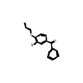 CCCOc1ccc(C(=O)c2ccccc2)cc1Br